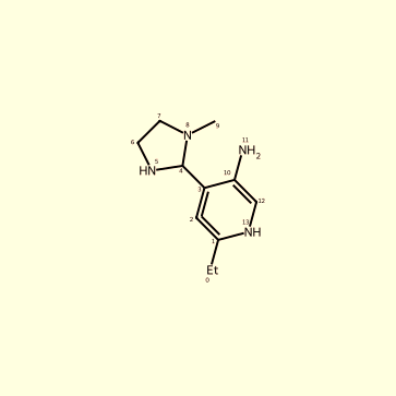 CCC1=C=C(C2NCCN2C)C(N)=CN1